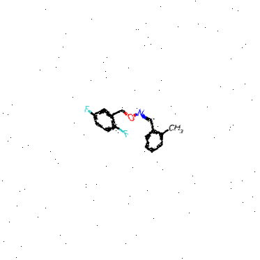 Cc1ccccc1/[C]=N\OCc1cc(F)ccc1F